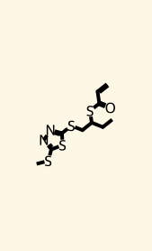 C=CC(=O)SC(CC)CSc1nnc(SC)s1